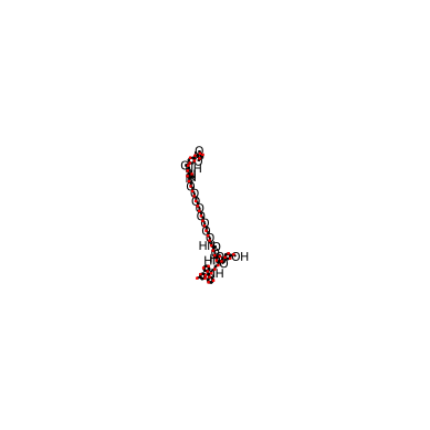 Cc1ccc(C(NCCCC[C@@H](NC(=O)COCC(=O)NCCOCCOCCOCCOCCOCCOCCOCCOCCn2cc(CNC(=O)C3CCC(CN4C(=O)C=CC4=O)CC3)nn2)C(=O)Nc2ccc(CO)cc2)(c2ccccc2)c2ccccc2)cc1